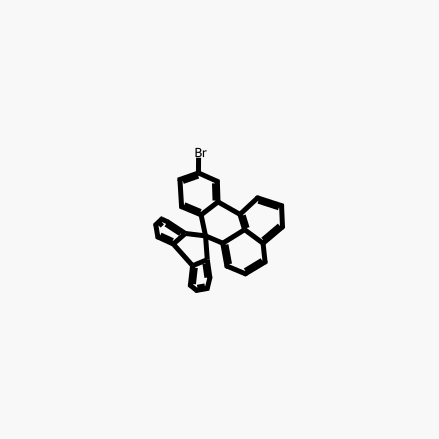 Brc1ccc2c(c1)-c1cccc3cccc(c13)C21c2ccccc2-c2ccccc21